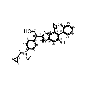 [O-][S+](CC1CC1)c1ccc(C(CO)c2nc3c(Cl)c(-c4ccccc4C(F)(F)F)c(Cl)cc3[nH]2)cc1